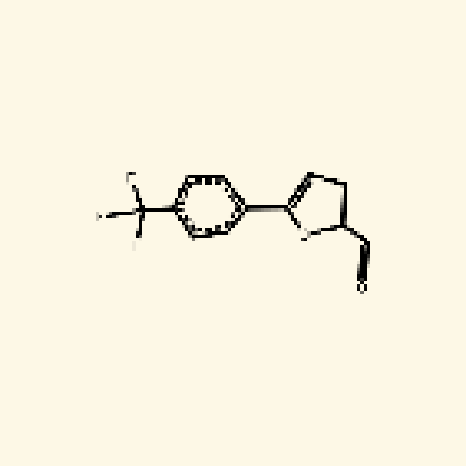 O=CC1CC=C(c2ccc(C(F)(F)F)cc2)O1